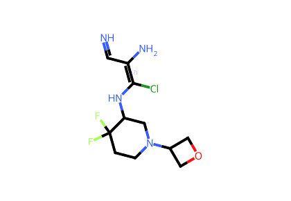 N=C/C(N)=C(/Cl)NC1CN(C2COC2)CCC1(F)F